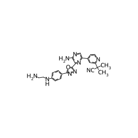 CC(C)(C#N)c1cc(-c2cnc(N)c(-c3nnc(-c4ccc(NCCN)cc4)o3)n2)ccn1